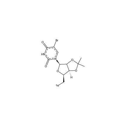 [3H]C[C@H]1O[C@@H](n2cc(Br)c(=O)[nH]c2=O)C2OC(C)(C)O[C@H]21